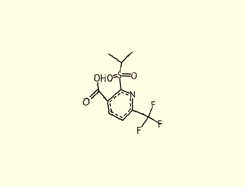 CC(C)S(=O)(=O)c1nc(C(F)(F)F)ccc1C(=O)O